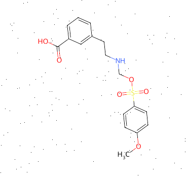 COc1ccc(S(=O)(=O)OCNCCc2cccc(C(=O)O)c2)cc1